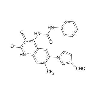 O=Cc1ccn(-c2cc3c(cc2C(F)(F)F)[nH]c(=O)c(=O)n3NC(=O)Nc2ccccc2)c1